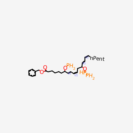 CCCCC/C=C\C=C\C(C/C=C\C=C\C(CCCCCC(=O)OCc1ccccc1)OP)OPP